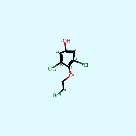 Oc1cc(Cl)c(OCCBr)c(Cl)c1